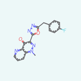 Cn1nc(-c2nnc(Cc3ccc(F)cc3)o2)c(=O)c2ncccc21